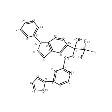 OC(CSc1nccc(-c2cccs2)n1)(c1ccc2c(cnn2-c2ccccc2)c1)C(F)(F)F